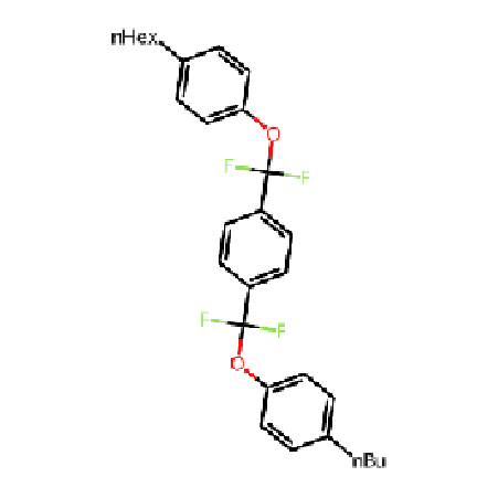 CCCCCCc1ccc(OC(F)(F)c2ccc(C(F)(F)Oc3ccc(CCCC)cc3)cc2)cc1